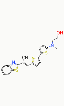 CN(CCO)c1ccc(-c2ccc(/C=C(\C#N)c3nc4ccccc4s3)s2)s1